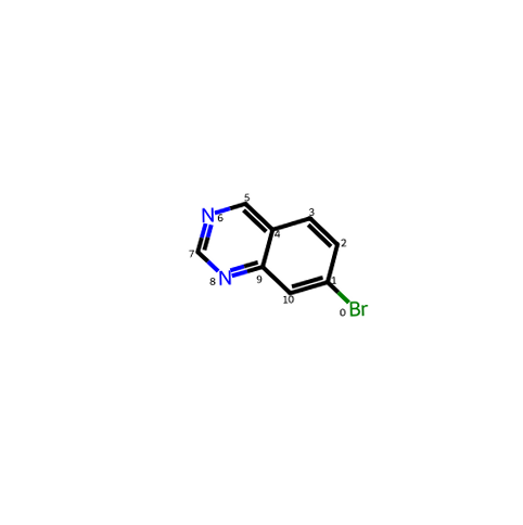 Brc1ccc2cncnc2c1